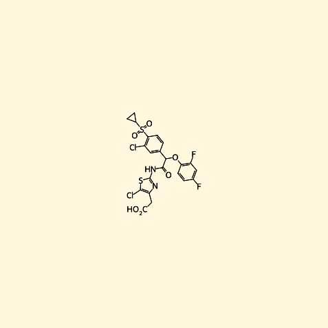 O=C(O)Cc1nc(NC(=O)C(Oc2ccc(F)cc2F)c2ccc(S(=O)(=O)C3CC3)c(Cl)c2)sc1Cl